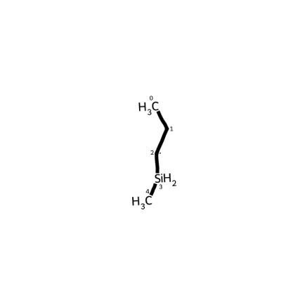 CC[CH][SiH2]C